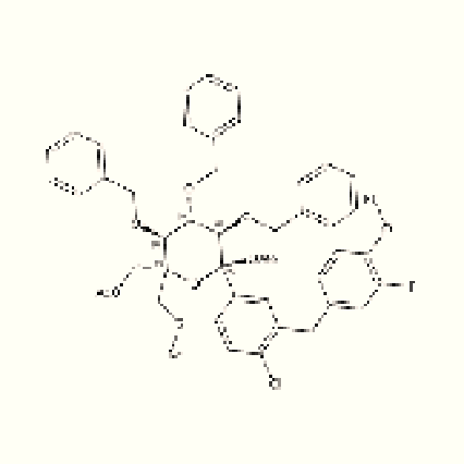 CCOc1ccc(Cc2cc([C@]3(OC)O[C@@](COC(C)=O)(CSC(C)=O)[C@@H](OCc4ccccc4)[C@H](OCc4ccccc4)[C@H]3OCc3ccccc3)ccc2Cl)cc1F